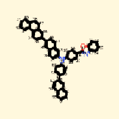 c1ccc2cc(-c3ccc(N(c4ccc(-c5nc6ccccc6o5)cc4)c4ccc5cc(-c6ccc7c(ccc8ccccc87)c6)ccc5c4)cc3)ccc2c1